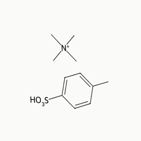 C[N+](C)(C)C.Cc1ccc(S(=O)(=O)O)cc1